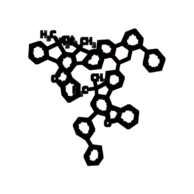 CC1(C)c2cc(C(Cc3ccc4c(c3)C(C)(C)c3c5c(c6oc7ccccc7c6c3-4)-c3ccccc3C5(C)C)Cc3c(-c4ccccc4)cccc3-c3ccccc3)ccc2-c2c1cc(-c1cccc(-c3ccccc3)c1)c1oc3ccccc3c21